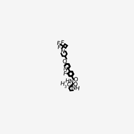 C[C@@]1(C(=O)NC(=O)c2ccc(-c3ccc(OCC4CCN(CC5(C(F)(F)F)CCC5)CC4)cn3)c(F)c2)CCCN1